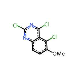 COc1ccc2nc(Cl)nc(Cl)c2c1Cl